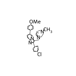 COc1ccc(-c2ccc3nc(-c4ccc(Cl)cc4)c(CN4CCCN(C)CC4)n3c2)cc1